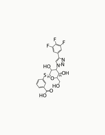 O=C(O)c1cccc(S[C@H]2OC(CO)[C@H](O)C(n3cc(-c4cc(F)c(F)c(F)c4)nn3)C2O)c1